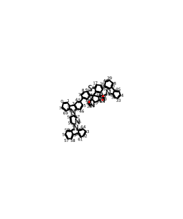 C1=CC2c3cc(-c4ccc5c(c4)C4(c6ccccc6S5)c5cccnc5-c5ncc(-n6c7ccccc7c7ccccc76)cc54)ccc3N(c3ccc(-n4c5ccccc5c5ccccc54)nc3)C2C=C1